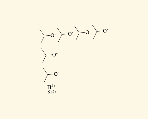 CC(C)[O-].CC(C)[O-].CC(C)[O-].CC(C)[O-].CC(C)[O-].CC(C)[O-].[Sr+2].[Ti+4]